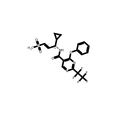 CS(=O)(=O)/C=C/[C@@H](NC(=O)c1cnc(C(F)(F)C(F)(F)F)nc1Oc1ccccc1)C1CC1